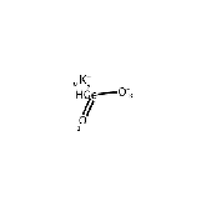 [K+].[O]=[GeH][O-]